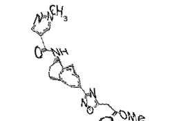 COC(=O)Cc1nc(-c2ccc3c(c2)CC[C@H]3NC(=O)c2cnn(C)c2)no1